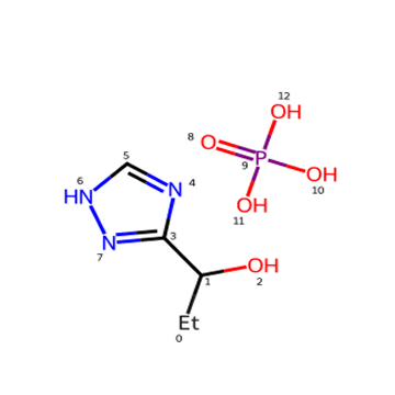 CCC(O)c1nc[nH]n1.O=P(O)(O)O